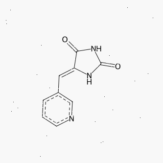 O=C1NC(=O)C(=Cc2cccnc2)N1